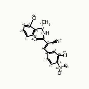 C[C@H](NC(=O)/C(C#N)=C/c1ccc([N+](=O)[O-])c(Cl)c1)c1ccccc1Cl